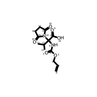 C=CCOC(=O)NC(C(=O)O)(C(C)C)N1C(=O)CCC1=O